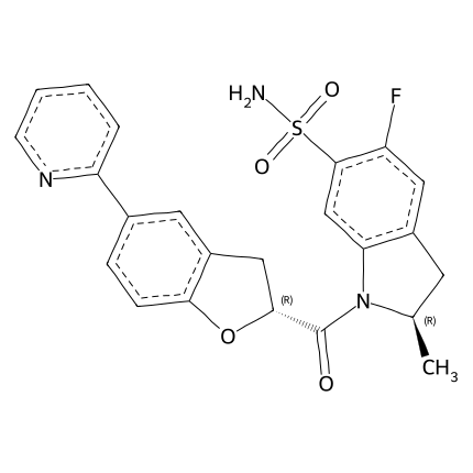 C[C@@H]1Cc2cc(F)c(S(N)(=O)=O)cc2N1C(=O)[C@H]1Cc2cc(-c3ccccn3)ccc2O1